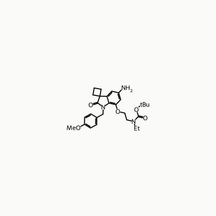 CCN(CCOc1cc(N)cc2c1N(Cc1ccc(OC)cc1)C(=O)C21CCC1)C(=O)OC(C)(C)C